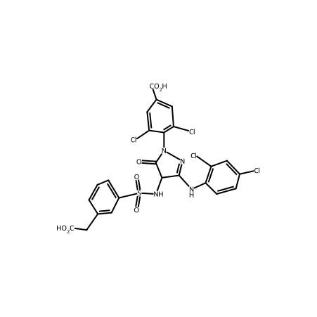 O=C(O)Cc1cccc(S(=O)(=O)NC2C(=O)N(c3c(Cl)cc(C(=O)O)cc3Cl)N=C2Nc2ccc(Cl)cc2Cl)c1